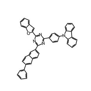 c1ccc(-c2ccc3cc(-c4nc(-c5ccc(-n6c7ccccc7c7ccccc76)cc5)nc(-c5cc6ccccc6o5)n4)ccc3c2)cc1